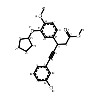 COC(=O)CC(C#Cc1cccc(Cl)c1)c1ccc(OC)c(OC2CCCC2)c1